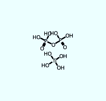 O=P(O)(O)OP(=O)(O)O.[OH][Ti]([OH])([OH])[OH]